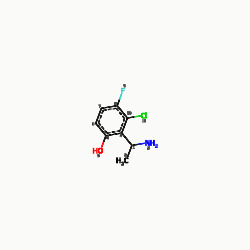 CC(N)c1c(O)ccc(F)c1Cl